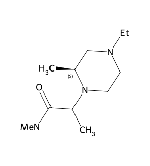 CCN1CCN(C(C)C(=O)NC)[C@@H](C)C1